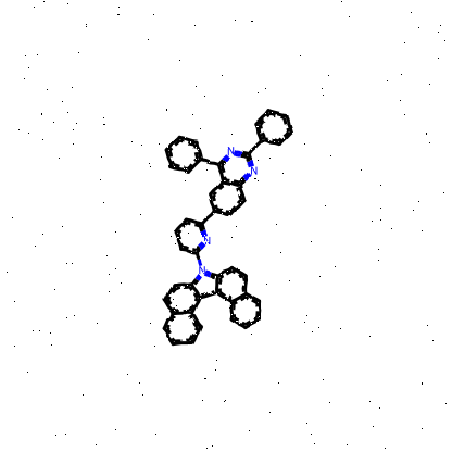 c1ccc(-c2nc(-c3ccccc3)c3cc(-c4cccc(-n5c6ccc7ccccc7c6c6c7ccccc7ccc65)n4)ccc3n2)cc1